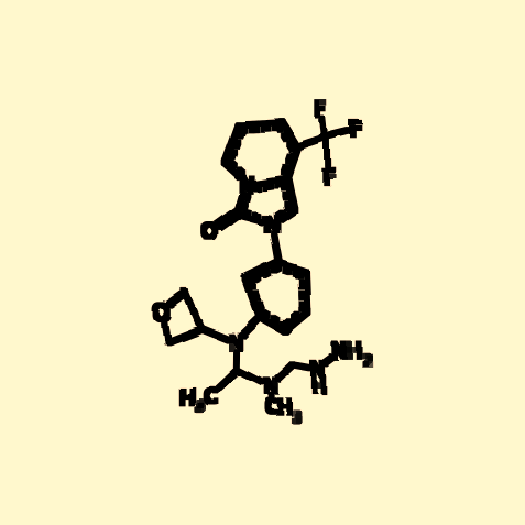 CC(N(C)CNN)N(c1cccc(-n2cc3c(C(F)(F)F)cccn3c2=O)c1)C1COC1